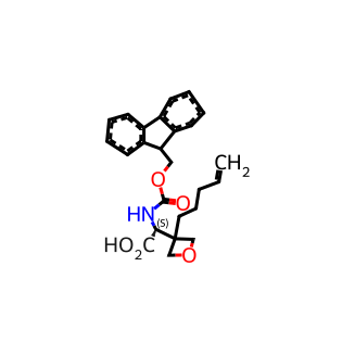 C=CCCCC1([C@H](NC(=O)OCC2c3ccccc3-c3ccccc32)C(=O)O)COC1